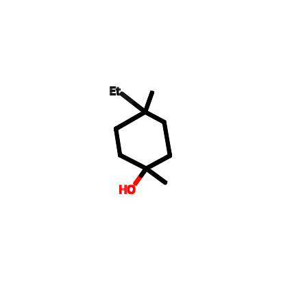 CCC1(C)CCC(C)(O)CC1